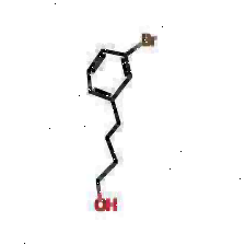 OCCCCc1cccc(Br)c1